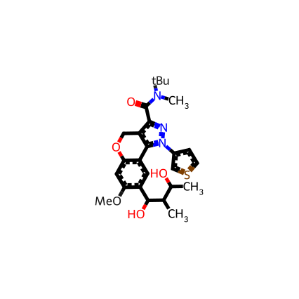 COc1cc2c(cc1C(O)C(C)C(C)O)-c1c(c(C(=O)N(C)C(C)(C)C)nn1-c1ccsc1)CO2